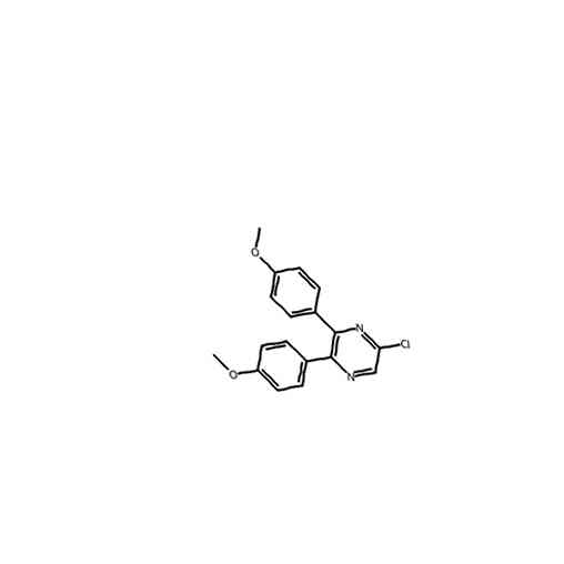 COc1ccc(-c2ncc(Cl)nc2-c2ccc(OC)cc2)cc1